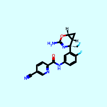 N#Cc1ccc(C(=O)Nc2ccc(F)c([C@@]3(CF)N=C(N)O[C@@H]4C[C@@H]43)c2)nc1